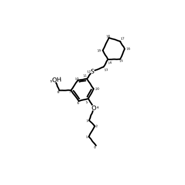 CCCCOc1cc(CO)cc(SCC2CCCCC2)c1